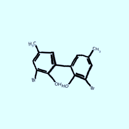 Cc1cc(Br)c(O)c(-c2cc(C)cc(Br)c2O)c1